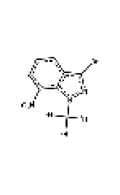 [2H]C([2H])([2H])n1nc(Br)c2cccc([N+](=O)[O-])c21